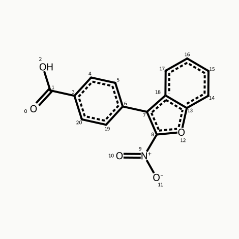 O=C(O)c1ccc(-c2c([N+](=O)[O-])oc3ccccc23)cc1